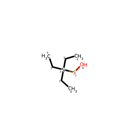 CC[Si](CC)(CC)SO